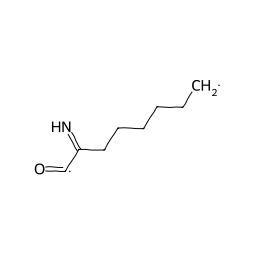 [CH2]CCCCCC(=N)[C]=O